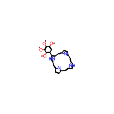 COc1cc(-c2cc3cc4nc(cc5ccc(cc6nc(cc2[nH]3)C=C6)[nH]5)C=C4)c(OC)c(OC)c1OC